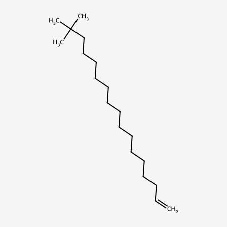 C=CCCCCCCCCCCCCCC(C)(C)C